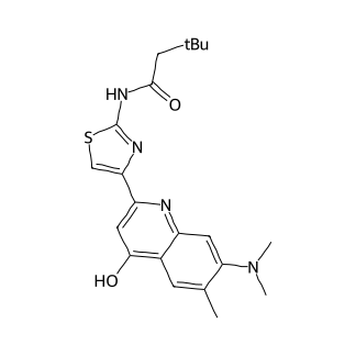 Cc1cc2c(O)cc(-c3csc(NC(=O)CC(C)(C)C)n3)nc2cc1N(C)C